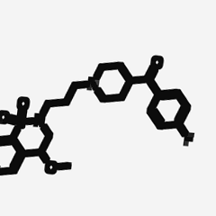 COC1CN(CCCN2CCC(C(=O)c3ccc(F)cc3)CC2)S(=O)(=O)c2ccccc21